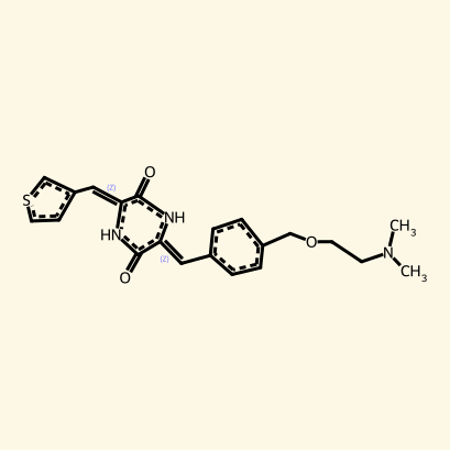 CN(C)CCOCc1ccc(/C=c2\[nH]c(=O)/c(=C/c3ccsc3)[nH]c2=O)cc1